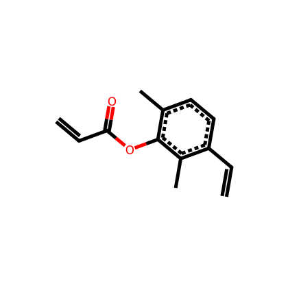 C=CC(=O)Oc1c(C)ccc(C=C)c1C